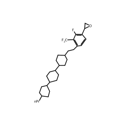 CCCC1CCC(C2CCC(C3CCC(CCc4ccc(C5CO5)c(F)c4C(F)(F)F)CC3)CC2)CC1